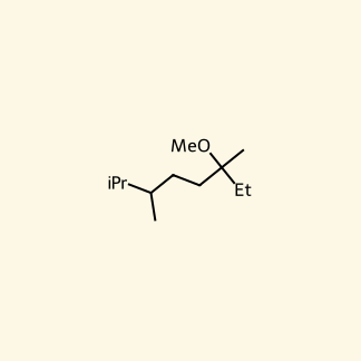 CCC(C)(CCC(C)C(C)C)OC